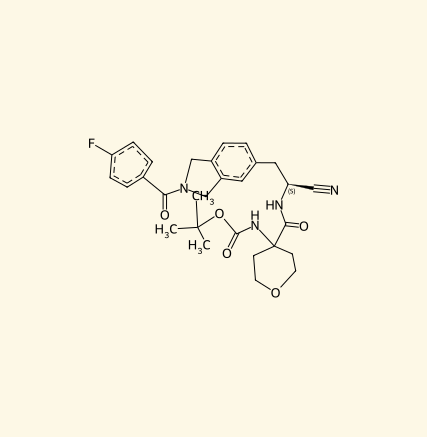 CC(C)(C)OC(=O)NC1(C(=O)N[C@H](C#N)Cc2ccc3c(c2)CN(C(=O)c2ccc(F)cc2)C3)CCOCC1